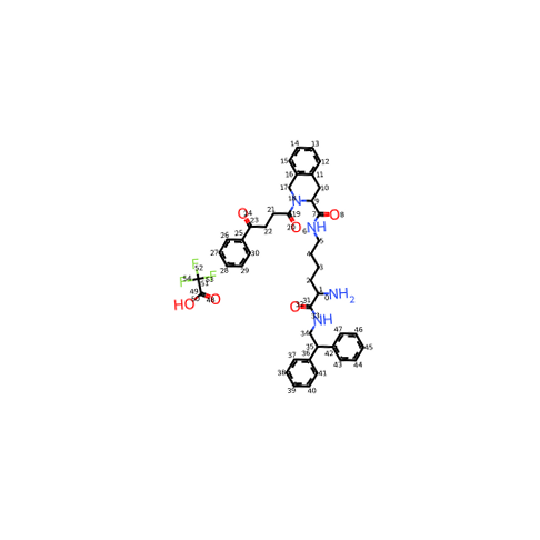 NC(CCCCNC(=O)C1Cc2ccccc2CN1C(=O)CCC(=O)c1ccccc1)C(=O)NCC(c1ccccc1)c1ccccc1.O=C(O)C(F)(F)F